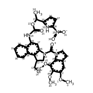 COc1cc2ccn(C(=O)N3CC(CCl)c4c3cc(NC(=O)OC(C)c3ccc([N+](=O)[O-])[nH]3)c3ccccc43)c2c(OC)c1OC